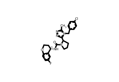 Cc1nnc(C2CCCN2C(=O)N[C@H]2CCOc3ccc(F)cc32)n1Cc1ccc(Cl)cc1